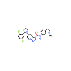 CC(=O)N1CCc2ccc(NC(=O)c3cnn4ccc(N5CCCC5c5cc(F)ccc5F)cc34)cc21